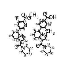 COC(=O)c1ncc(-c2cccc3c(C(=O)N4CCCCC4)cnn23)cc1F.Cc1c(-c2cccc3c(C(=O)N4CCCCC4)cnn23)cnc(C(=O)O)c1F